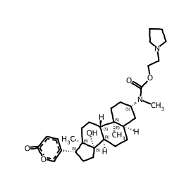 CN(C(=O)OCCN1CCCC1)[C@H]1CC[C@@]2(C)[C@H](CC[C@@H]3[C@@H]2CC[C@]2(C)[C@@H](c4ccc(=O)oc4)CC[C@]32O)C1